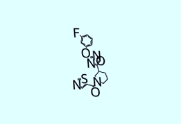 O=C(c1cncs1)N1CCCC(c2nc(Oc3cccc(F)c3)no2)C1